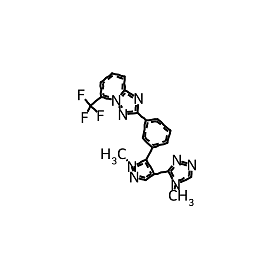 Cn1cnnc1-c1cnn(C)c1-c1cccc(-c2nc3cccc(C(F)(F)F)n3n2)c1